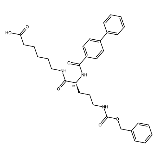 O=C(O)CCCCCNC(=O)[C@H](CCCNC(=O)OCc1ccccc1)NC(=O)c1ccc(-c2ccccc2)cc1